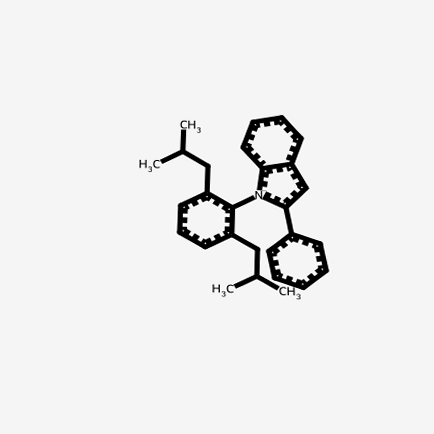 CC(C)Cc1cccc(CC(C)C)c1-n1c(-c2ccccc2)cc2ccccc21